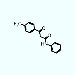 O=C(CC(=O)c1ccc(C(F)(F)F)cc1)Nc1ccccc1